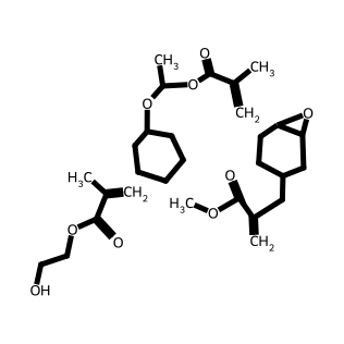 C=C(C)C(=O)OC(C)OC1CCCCC1.C=C(C)C(=O)OCCO.C=C(CC1CCC2OC2C1)C(=O)OC